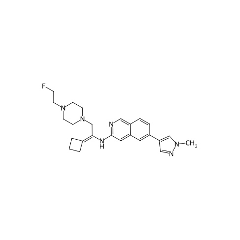 Cn1cc(-c2ccc3cnc(NC(CN4CCN(CCF)CC4)=C4CCC4)cc3c2)cn1